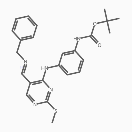 CSc1ncc(/C=N/Cc2ccccc2)c(Nc2cccc(NC(=O)OC(C)(C)C)c2)n1